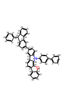 c1ccc(-c2ccc(-n3c4ccc(-c5ccc6c(c5)-c5ccccc5C6c5ccccc5)cc4c4ccc5c6ccccc6oc5c43)cc2)cc1